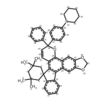 CC1(C)CC(C)(C)CC2(C1)c1ccccc1-c1c2c2c(c3cc4c(cc13)OCO4)OC(c1ccccc1)(c1ccc(N3CCCCC3)cc1)C=C2